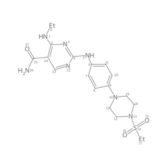 CCNc1nc(Nc2ccc(N3CCN(S(=O)(=O)CC)CC3)cc2)ncc1C(N)=O